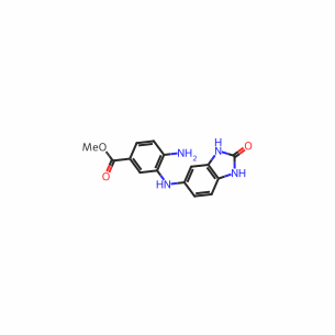 COC(=O)c1ccc(N)c(Nc2ccc3[nH]c(=O)[nH]c3c2)c1